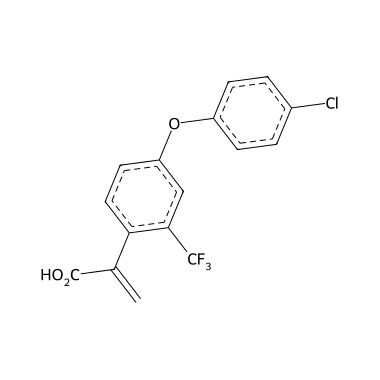 C=C(C(=O)O)c1ccc(Oc2ccc(Cl)cc2)cc1C(F)(F)F